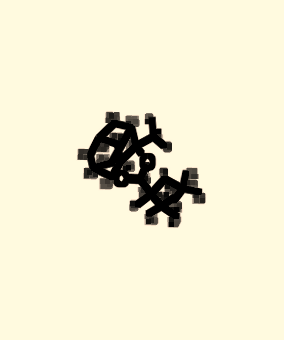 CC(C)C1(OC(=O)C(C)(CC(C)(C)C)C(C)(C)C)C2CC3CC(C2)CC1C3